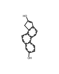 OC1=Cc2ccc3c(ccc4cc(O)ccc43)c2C1